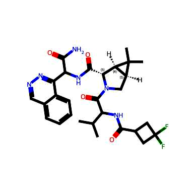 CC(C)C(NC(=O)C1CC(F)(F)C1)C(=O)N1C[C@H]2[C@@H]([C@H]1C(=O)NC(C(N)=O)c1nncc3ccccc13)C2(C)C